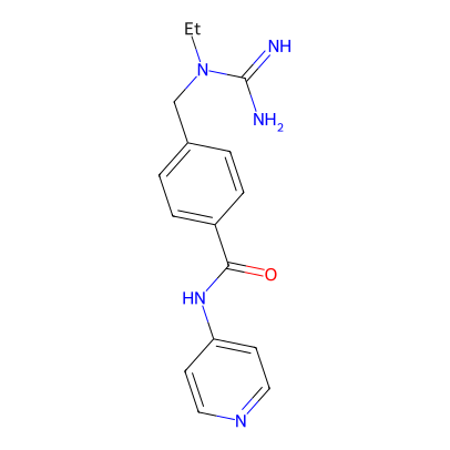 CCN(Cc1ccc(C(=O)Nc2ccncc2)cc1)C(=N)N